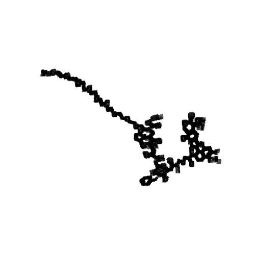 CC[C@@]1(O)C(=O)OCc2c1cc1n(c2=O)Cc2c-1nc1cc(F)c(C)c3c1c2[C@@H](NC(=O)COCNC(=O)CNC(=O)[C@H](Cc1ccccc1)NC(=O)CNC(=O)CNC(=O)[C@H](CN(CCOCCOCCOCCOCCOCCOCCOCCOCCOC)C(=O)OC(C)(C)C)N1C(=O)C=CC1=O)CC3